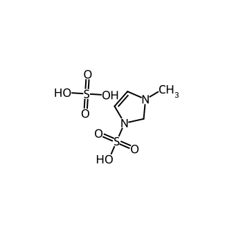 CN1C=CN(S(=O)(=O)O)C1.O=S(=O)(O)O